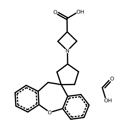 O=C(O)C1CN(C2CCC3(Cc4ccccc4Oc4ccccc43)C2)C1.O=CO